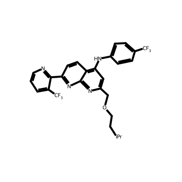 CC(C)CCOCc1cc(Nc2ccc(C(F)(F)F)cc2)c2ccc(-c3ncccc3C(F)(F)F)nc2n1